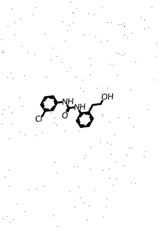 O=C(Nc1cccc(Cl)c1)Nc1ccccc1CCO